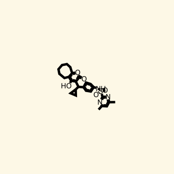 Cc1cc(C)nc(S(=O)(=O)Nc2ccc(C(c3c(O)c4c(oc3=O)CCCCCC4)C3CC3)cc2)n1